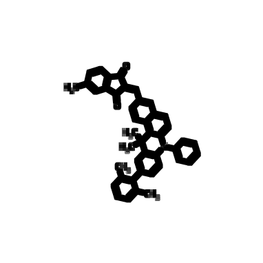 Bc1ccc2c(c1)C(=O)/C(=C\c1ccc3c4c(ccc3c1)N(c1ccccc1)c1ccc(-c3c(C)cccc3C)cc1C4(C)C)C2=O